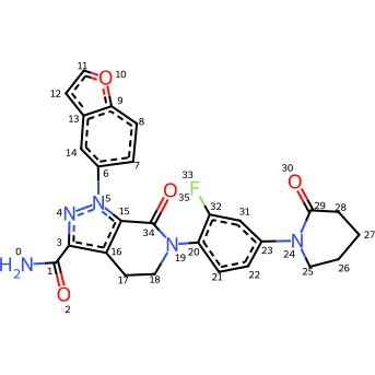 NC(=O)c1nn(-c2ccc3occc3c2)c2c1CCN(c1ccc(N3CCCCC3=O)cc1F)C2=O